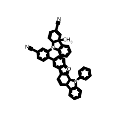 CC12C=C(C#N)C=CC1N(c1cc(C#N)ccc1-c1ccc3oc4c(c3c1)C=CC1c3ccccc3N(c3ccccc3)C41)c1ccccc12